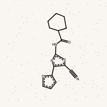 N#Cc1sc(NC(=O)C2CCCCC2)nc1-c1ccco1